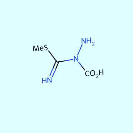 CSC(=N)N(N)C(=O)O